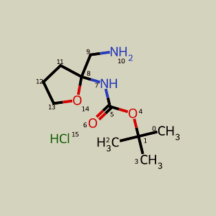 CC(C)(C)OC(=O)NC1(CN)CCCO1.Cl